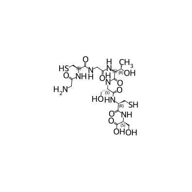 C[C@@H](O)[C@H](NC(=O)CNC(=O)[C@H](CS)NC(=O)CN)C(=O)N[C@@H](CO)C(=O)N[C@@H](CS)C(=O)N[C@@H](CO)C(=O)O